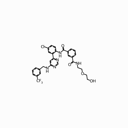 O=C(NCCOCCO)c1cccc(C(=O)Nc2ccc(Cl)cc2-c2cc(NCc3cccc(C(F)(F)F)c3)ncn2)c1